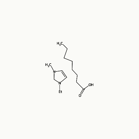 CCCCCCCC(=O)O.CCN1C=CN(C)C1